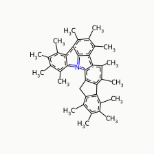 Cc1c(C)c(C)c2c(c1C)Cc1c-2c(C)c(C)c2c3c(C)c(C)c(C)c4c5c(C)c(C)c(C)c(C)c5n(c12)c43